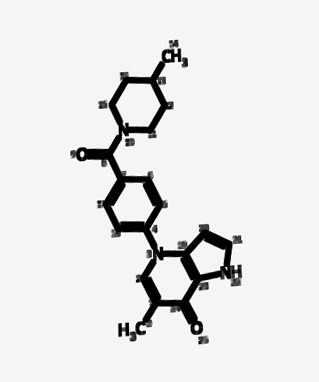 Cc1cn(-c2ccc(C(=O)N3CCC(C)CC3)cc2)c2cc[nH]c2c1=O